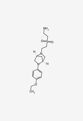 CCOc1ccc(N2C[C@@H]3C[C@H]2CN3CCS(=O)(=O)CCN)cc1